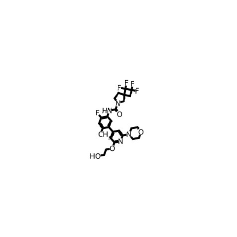 Cc1cc(F)c(NC(=O)N2CCC3(C2)CC(F)(F)C3(F)F)cc1-c1cc(OCCO)nc(N2CCOCC2)c1